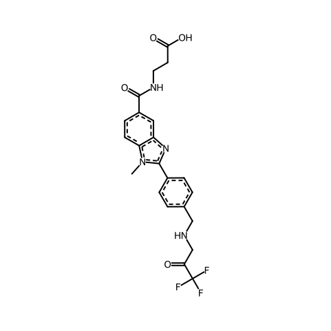 Cn1c(-c2ccc(CNCC(=O)C(F)(F)F)cc2)nc2cc(C(=O)NCCC(=O)O)ccc21